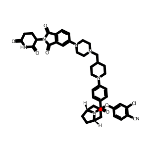 N#Cc1ccc(OC2C[C@H]3CC[C@@H](C2)N3C(=O)c2ccc(N3CCC(CN4CCN(c5ccc6c(c5)C(=O)N(C5CCC(=O)NC5=O)C6=O)CC4)CC3)cc2)cc1Cl